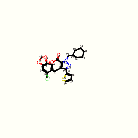 O=C(O)c1c(Cc2cc3c(cc2Cl)OCO3)c(-c2cccs2)nn1CC1CCCCC1